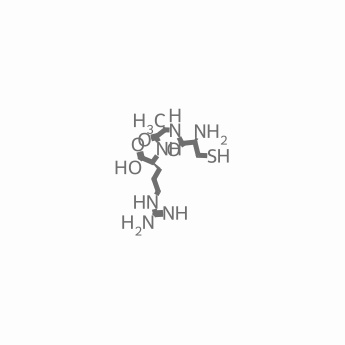 C[C@H](NC(=O)[C@@H](N)CS)C(=O)N[C@@H](CCCNC(=N)N)C(=O)O